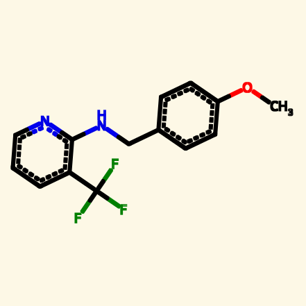 COc1ccc(CNc2ncccc2C(F)(F)F)cc1